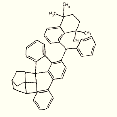 CC1(C)CCC(C)(C)c2c(N(c3ccccc3)c3ccc(-c4ccccc4)c4c3-c3ccccc3C43C4CC5CC6CC3C64C5)cccc21